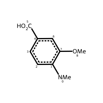 CNc1ccc(C(=O)O)cc1OC